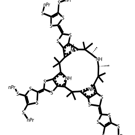 CCCSC1=C(SCCC)SC(=C2Sc3c4[nH]c(c3S2)C(C)(C)c2[nH]c(c3c2SC(=C2SC(SCCC)=C(SCCC)S2)S3)C(C)(C)[C@@H](C)N[C@@H](C)C(C)(C)c2[nH]c(c3c2SC(=C2SC(SCCC)=C(SCCC)S2)S3)C4(C)C)S1